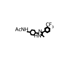 CC(=O)NCC1CCC(c2nc(-c3cccc(C(F)(F)F)c3)c(C)[nH]2)CC1